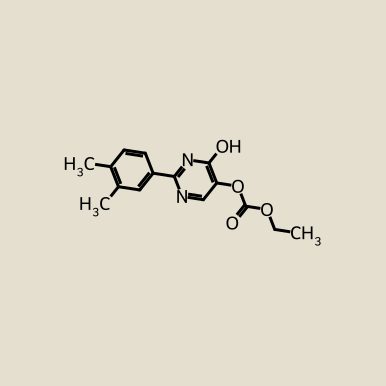 CCOC(=O)Oc1cnc(-c2ccc(C)c(C)c2)nc1O